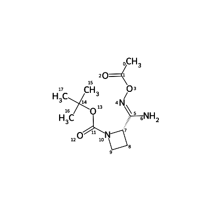 CC(=O)ON=C(N)[C@@H]1CCN1C(=O)OC(C)(C)C